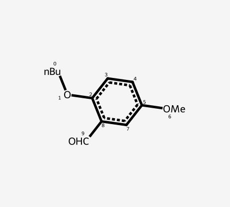 CCCCOc1ccc(OC)cc1C=O